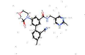 Cc1ccc(-c2cc(C(=O)NCc3cnc(C)nc3)cc(N3CCOCC3=O)c2)c(C#N)c1